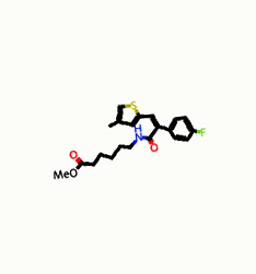 COC(=O)CCCCCNC(=O)C(=Cc1cc(C)cs1)c1ccc(F)cc1